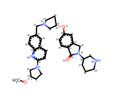 CO[C@H]1CCN(c2ccc3cc(CN4CC[C@H](Oc5ccc6c(c5)CN(C5CCCNC5)C6=O)C4)ccc3n2)C1